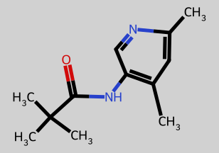 Cc1cc(C)c(NC(=O)C(C)(C)C)cn1